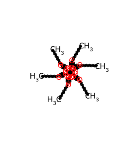 CCCCCCCCCCCOc1ccc(OC(=O)c2c(C(=O)Oc3ccc(OCCCCCCCCCCC)cc3)c(C(=O)Oc3ccc(OCCCCCCCCCCC)cc3)c(C(=O)Oc3ccc(OCCCCCCCCCCC)cc3)c(C(=O)Oc3ccc(OCCCCCCCCCCC)cc3)c2C(=O)Oc2ccc(OCCCCCCCCCCC)cc2)cc1